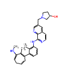 CNC1=CCC=CC(c2cccc(Nc3nccc4cc(CN5CCC(O)C5)cnc34)c2C)=C1C